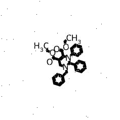 CCOC(=O)C1=C(C(=O)OCC)N(c2ccccc2)C(c2ccccc2)N(Cc2ccccc2)C1